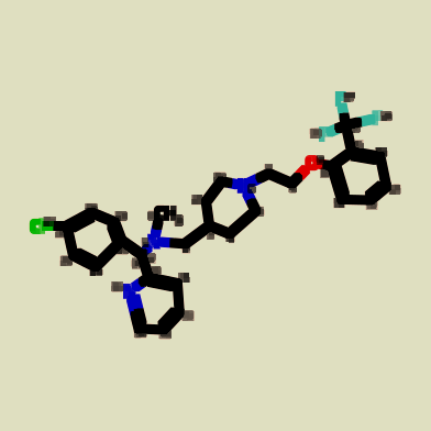 CN(CC1CCN(CCOc2ccccc2C(F)(F)F)CC1)[C@H](c1ccc(Cl)cc1)c1ccccn1